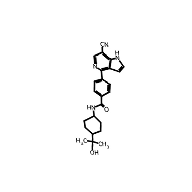 CC(C)(O)C1CCC(NC(=O)c2ccc(-c3ncc(C#N)c4[nH]ccc34)cc2)CC1